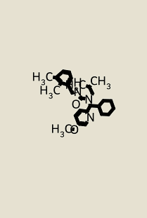 COc1ccc(C(C2CCCCC2)N(CC(C)C)C(=O)NCc2cccc(C)c2C)nc1